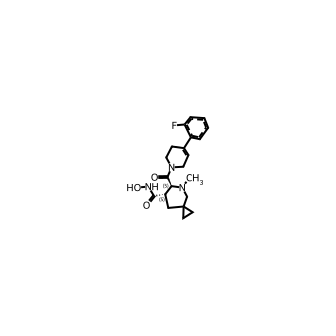 CN1CC2(CC2)C[C@H](C(=O)NO)[C@H]1C(=O)N1CC=C(c2ccccc2F)CC1